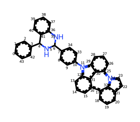 c1ccc(C2NC(c3ccc(-n4c5cccc6c7cccc8ccn(c9cccc4c9c65)c87)cc3)Nc3ccccc32)cc1